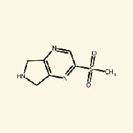 CS(=O)(=O)c1cnc2c(n1)CNC2